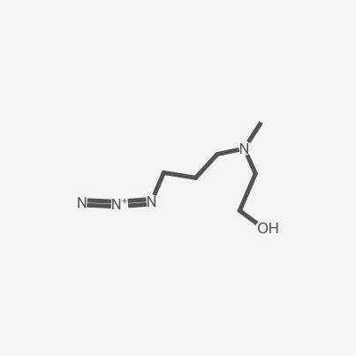 CN(CCO)CCCN=[N+]=[N-]